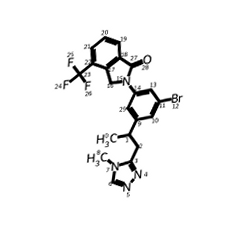 CC(Cc1nncn1C)c1cc(Br)cc(N2Cc3c(cccc3C(F)(F)F)C2=O)c1